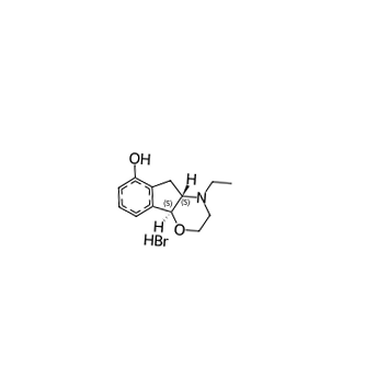 Br.CCN1CCO[C@H]2c3cccc(O)c3C[C@@H]21